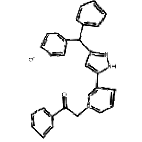 O=C(C[n+]1cccc(-c2cc(C(c3ccccc3)c3ccccc3)n[nH]2)c1)c1ccccc1.[Cl-]